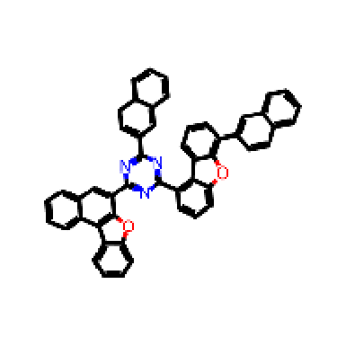 C1=CC2=CC(c3nc(-c4cc5ccccc5c5c4oc4ccccc45)nc(-c4cccc5oc6c(-c7ccc8ccccc8c7)cccc6c45)n3)=CCC2C=C1